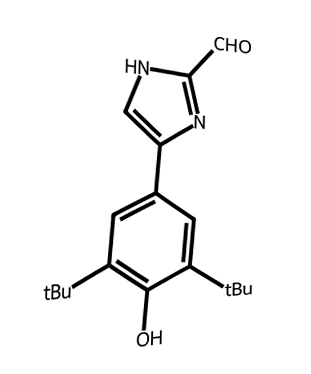 CC(C)(C)c1cc(-c2c[nH]c(C=O)n2)cc(C(C)(C)C)c1O